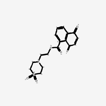 O=C1C=CC(=O)c2c1cccc2C(=O)OCCN1CCS(=O)(=O)CC1